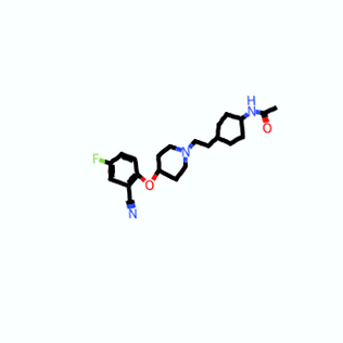 CC(=O)NC1CCC(CCN2CCC(Oc3ccc(F)cc3C#N)CC2)CC1